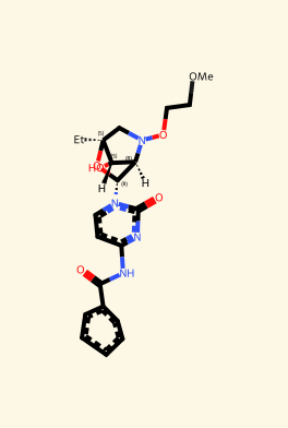 CC[C@@]12CN(OCCOC)[C@@H]([C@H](n3ccc(NC(=O)c4ccccc4)nc3=O)O1)[C@@H]2O